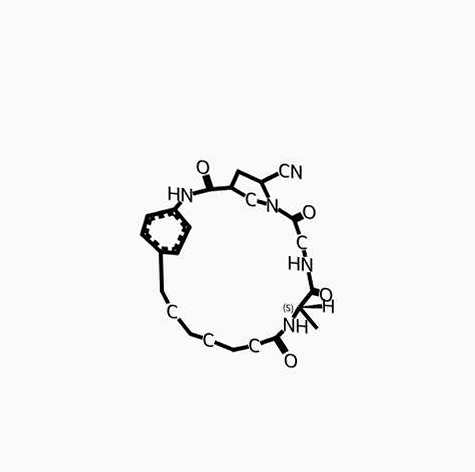 C[C@@H]1NC(=O)CCCCCCc2ccc(cc2)NC(=O)C2CC(C#N)N(C2)C(=O)CNC1=O